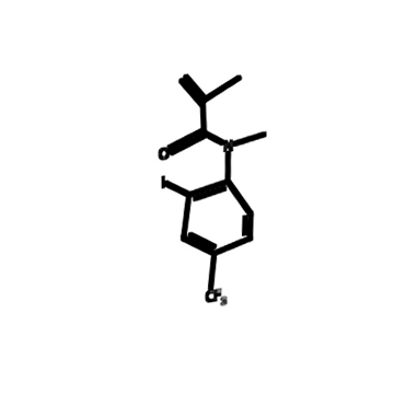 C=C(C)C(=O)N(C)c1ccc(C(F)(F)F)cc1I